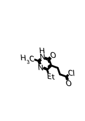 CCc1nc(C)[nH]c(=O)c1CCC(=O)Cl